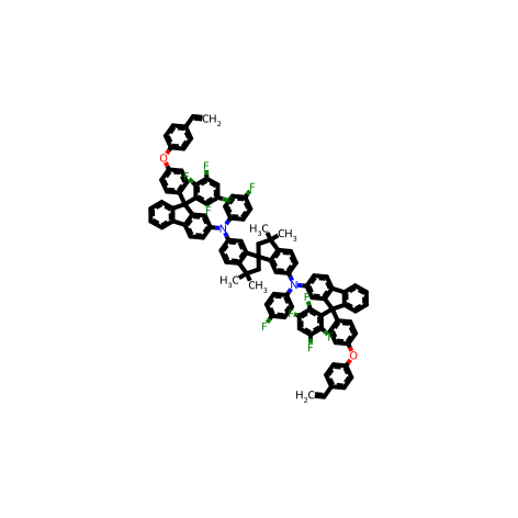 C=Cc1ccc(Oc2ccc(C3(c4c(F)c(F)cc(F)c4F)c4ccccc4-c4ccc(N(c5ccc(F)cc5)c5ccc6c(c5)C5(CC6(C)C)CC(C)(C)c6ccc(N(c7ccc(F)cc7)c7ccc8c(c7)C(c7ccc(Oc9ccc(C=C)cc9)cc7)(c7c(F)c(F)cc(F)c7F)c7ccccc7-8)cc65)cc43)cc2)cc1